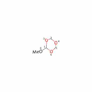 COC1OCOCO1